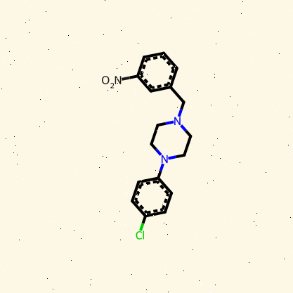 O=[N+]([O-])c1cccc(CN2CCN(c3ccc(Cl)cc3)CC2)c1